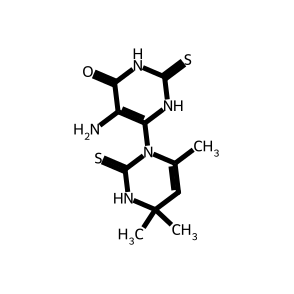 CC1=CC(C)(C)NC(=S)N1c1[nH]c(=S)[nH]c(=O)c1N